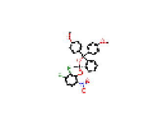 COc1ccc(C(OC(C)(C)Oc2c([N+](=O)[O-])ccc(F)c2F)(c2ccccc2)c2ccc(OC)cc2)cc1